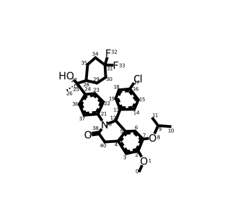 COc1cc2c(cc1OC(C)C)C(c1ccc(Cl)cc1)N(c1ccc([C@@](C)(O)C3CCC(F)(F)CC3)cc1)C(=O)C2